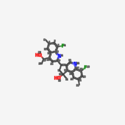 Cc1cc(F)c2nc(CCC(C)(O)c3ccnc4c(F)cc(C)cc34)cc(C(C)O)c2c1